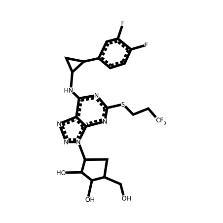 OCC1CC(n2nnc3c(NC4CC4c4ccc(F)c(F)c4)nc(SCCC(F)(F)F)nc32)C(O)C1O